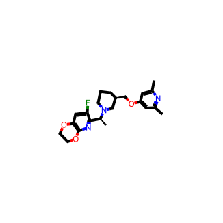 Cc1cc(OC[C@@H]2CCCN([C@@H](C)c3nc4c(cc3F)OCCO4)C2)cc(C)n1